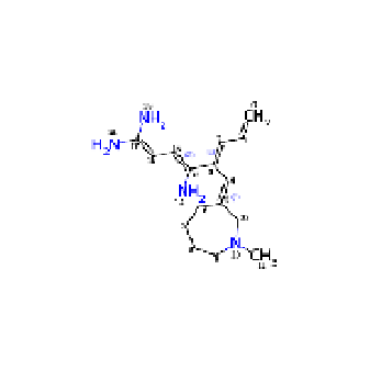 C=C/C=C(\C=C1/CCCCN(C)C1)C(/N)=C/C=C(N)N